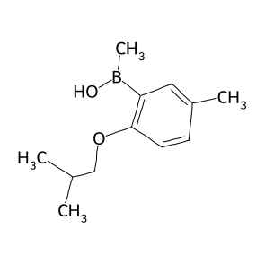 CB(O)c1cc(C)ccc1OCC(C)C